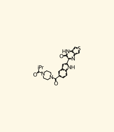 CC(C)C(=O)N1CCN(C(=O)c2ccc3[nH]c(-c4nc5cscc5[nH]c4=O)cc3c2)CC1